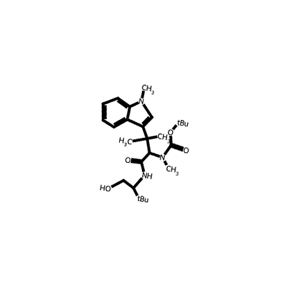 CN(C(=O)OC(C)(C)C)C(C(=O)NC(CO)C(C)(C)C)C(C)(C)c1cn(C)c2ccccc12